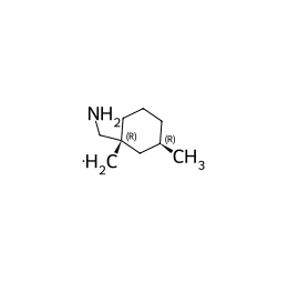 [CH2][C@@]1(CN)CCC[C@@H](C)C1